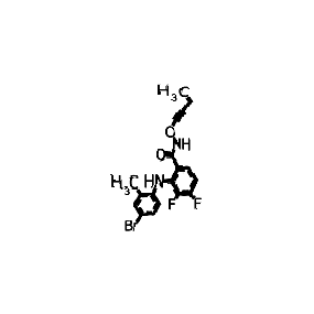 CCC#CONC(=O)c1ccc(F)c(F)c1Nc1ccc(Br)cc1C